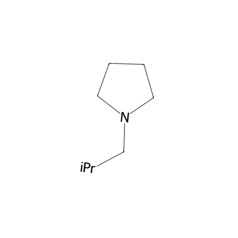 [CH2]C(C)CN1CCCC1